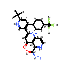 CC(C)(C)c1cc(C2CCC(C(F)(F)F)CC2)c(-c2cc(=O)c3c(C(N)=O)nccc3[nH]2)cn1